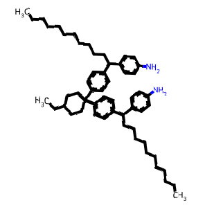 CCCCCCCCCCCC(c1ccc(N)cc1)c1ccc(C2(c3ccc(C(CCCCCCCCCCC)c4ccc(N)cc4)cc3)CCC(CC)CC2)cc1